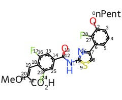 CCCCCOc1cccc(-c2csc(NC(=O)c3cc(F)c(/C=C(/OC)C(=O)O)c(F)c3)n2)c1F